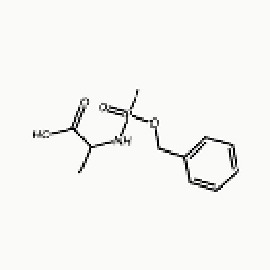 CC(NP(C)(=O)OCc1ccccc1)C(=O)O